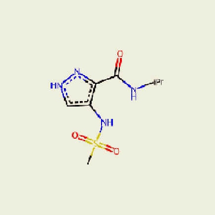 CC(C)NC(=O)c1n[nH]cc1NS(C)(=O)=O